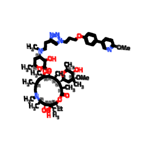 CC[C@H]1OC(=O)[C@H](C)[C@@H](C2C[C@@](C)(OC)[C@@H](O)[C@H](C)O2)[C@H](C)[C@@H](O[C@@H]2O[C@H](C)C[C@H](N(C)CCc3cn(CCCOc4ccc(-c5ccc(OC)nc5)cc4)nn3)[C@H]2O)[C@](C)(O)C[C@@H](C)CN(C)[C@H](C)[C@@H](O)[C@]1(C)O